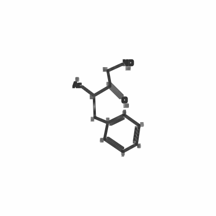 CC(=O)C(Cc1ccccc1)C(=O)CN=O